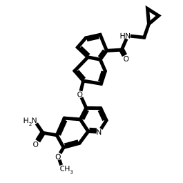 COc1cc2nccc(Oc3ccc4c(C(=O)NCC5CC5)cccc4c3)c2cc1C(N)=O